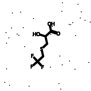 O=C(O)C(O)CSCC(F)(F)F